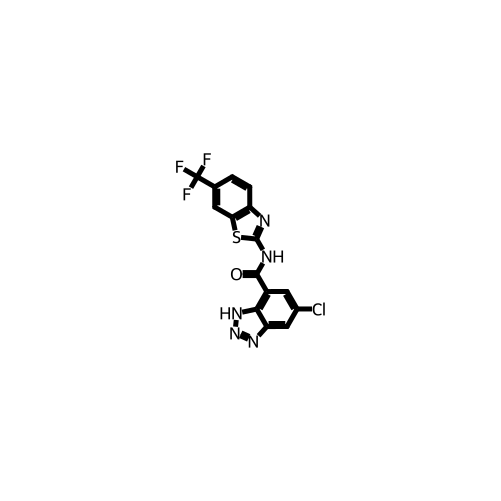 O=C(Nc1nc2ccc(C(F)(F)F)cc2s1)c1cc(Cl)cc2nn[nH]c12